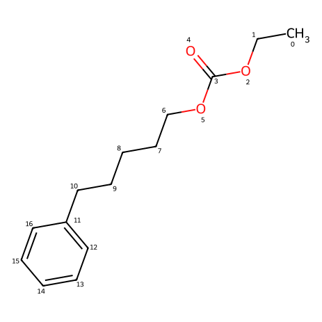 CCOC(=O)OCCCCCc1ccccc1